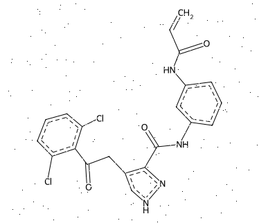 C=CC(=O)Nc1cccc(NC(=O)c2n[nH]cc2CC(=O)c2c(Cl)cccc2Cl)c1